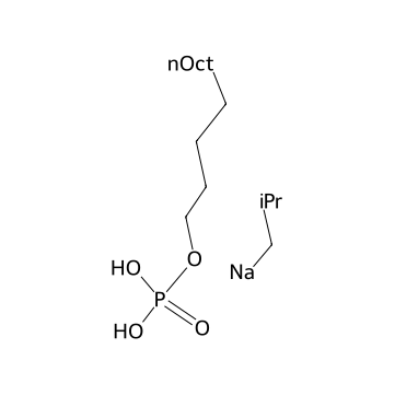 CC(C)[CH2][Na].CCCCCCCCCCCCOP(=O)(O)O